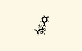 CCC(=O)C(C)(C(=O)OCc1ccccc1)C(F)(F)F